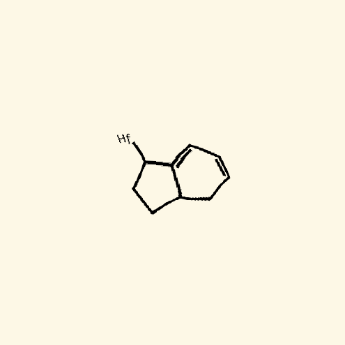 [Hf][CH]1CCC2CC=CC=C12